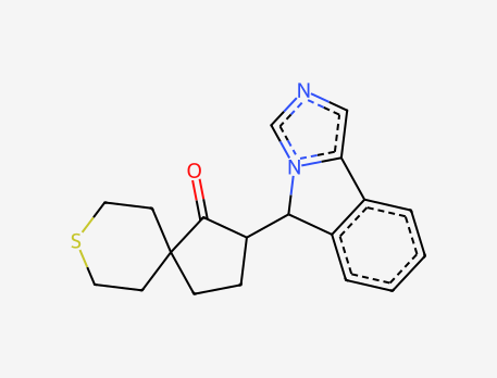 O=C1C(C2c3ccccc3-c3cncn32)CCC12CCSCC2